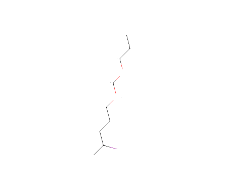 CCCOCOCCCC(C)I